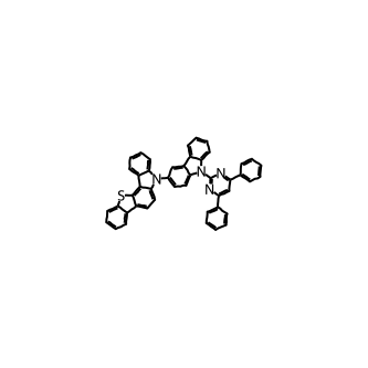 c1ccc(-c2cc(-c3ccccc3)nc(-n3c4ccccc4c4cc(-n5c6ccccc6c6c7sc8ccccc8c7ccc65)ccc43)n2)cc1